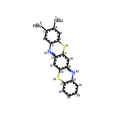 CCCCc1[c]c2c(cc1CCCC)Sc1cc3c(cc1=N2)Sc1ccccc1N=3